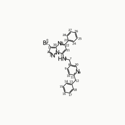 Brc1cnn2c(NCc3ccc(Cc4ccccc4)nc3)cc(-c3ccccc3)nc12